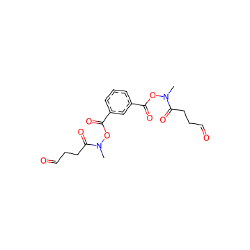 CN(OC(=O)c1cccc(C(=O)ON(C)C(=O)CCC=O)c1)C(=O)CCC=O